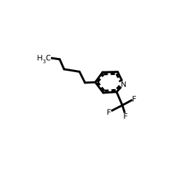 CCCCCc1ccnc(C(F)(F)F)c1